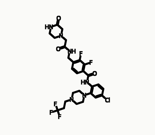 O=C1CN(CC(=O)NCc2ccc(C(=O)Nc3ccc(Cl)cc3N3CCN(CCC(F)(F)F)CC3)c(F)c2F)CCN1